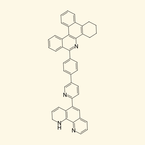 C1=Cc2c(-c3ccc(-c4ccc(-c5nc6c7c(c8ccccc8c6c6ccccc56)CCCC7)cc4)cn3)cc3cccnc3c2NC1